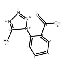 O=C(O)c1ccccc1-n1nnnc1S